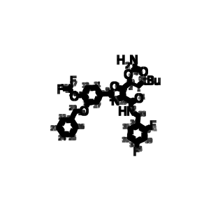 CC(C)(C)C[C@H](OC(N)=O)c1oc(-c2ccc(OC(F)F)c(OCc3ccccc3)c2)nc1C(=O)NCc1ccc(F)cc1F